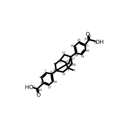 CC12CC3CC(c4ccc(C(=O)O)cc4)(C1)CC(c1ccc(C(=O)O)cc1)(C3)C2